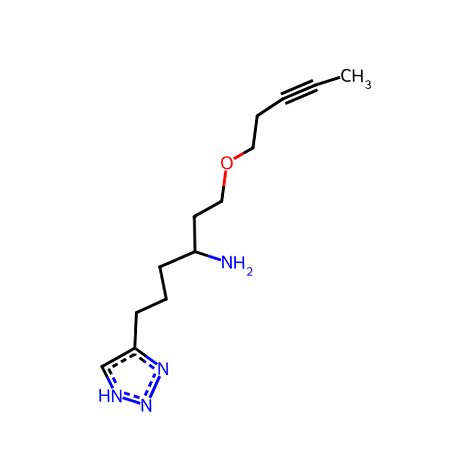 CC#CCCOCCC(N)CCCc1c[nH]nn1